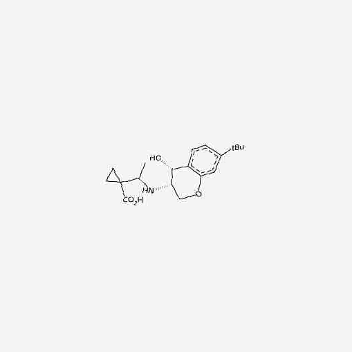 CC(N[C@H]1COc2cc(C(C)(C)C)ccc2[C@H]1O)C1(C(=O)O)CC1